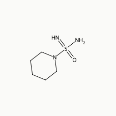 N=S(N)(=O)N1CCCCC1